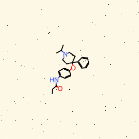 CCC(=O)Nc1ccc(OC2(c3ccccc3)CCN(C(C)C)CC2)cc1